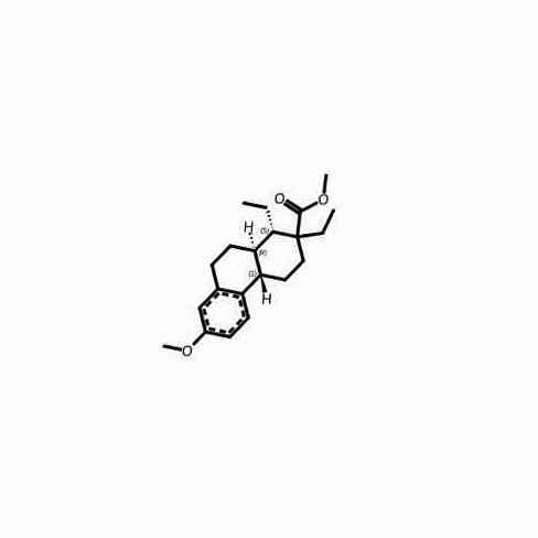 CC[C@H]1[C@@H]2CCc3cc(OC)ccc3[C@H]2CCC1(CC)C(=O)OC